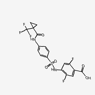 O=C(O)c1cc(F)c(NS(=O)(=O)c2ccc(NC(=O)C3(C(F)(F)F)CC3)cc2)cc1F